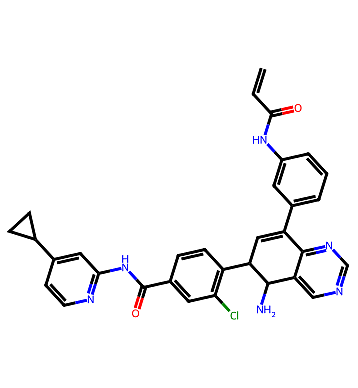 C=CC(=O)Nc1cccc(C2=CC(c3ccc(C(=O)Nc4cc(C5CC5)ccn4)cc3Cl)C(N)c3cncnc32)c1